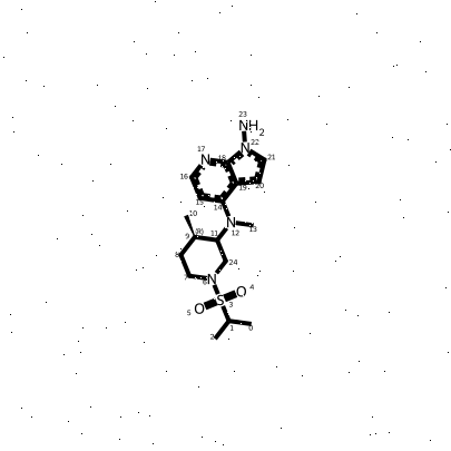 CC(C)S(=O)(=O)N1CC[C@@H](C)C(N(C)c2ccnc3c2ccn3N)C1